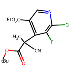 CCOC(=O)c1cnc(Cl)c(F)c1C(C)(C#N)C(=O)OC(C)(C)C